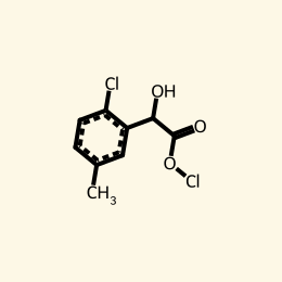 Cc1ccc(Cl)c(C(O)C(=O)OCl)c1